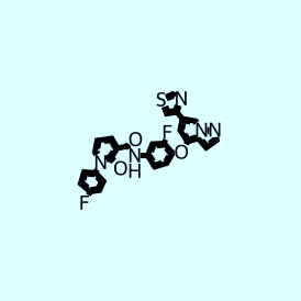 O=C(Nc1ccc(Oc2cc(-c3cscn3)cn3nccc23)c(F)c1)c1cccn(-c2ccc(F)cc2)c1=O